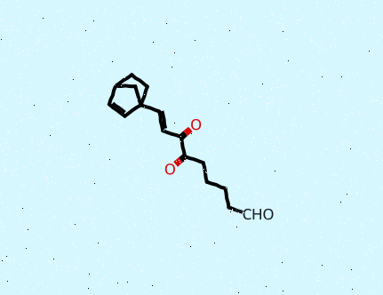 O=CCCCCC(=O)C(=O)C=CC12C=CC(CC1)C2